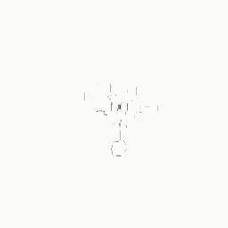 CC(C)(C)OC(=O)N[C@@H](Cc1ccccc1)C(=O)N[C@@H](C(=O)O)C(C)(C)S